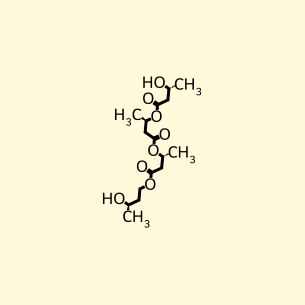 C[C@H](CC(=O)OCC[C@@H](C)O)OC(=O)C[C@@H](C)OC(=O)C[C@@H](C)O